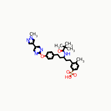 Cc1ccc(S(=O)(=O)O)cc1CCC(CCc1ccc(Oc2ncc(-c3cnn(C)c3)cn2)cc1)NC(=O)C(C)(C)C